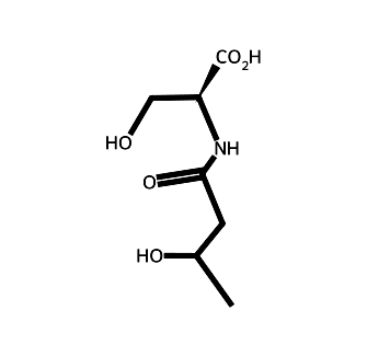 CC(O)CC(=O)N[C@@H](CO)C(=O)O